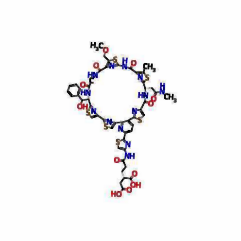 CNC(=O)C[C@@H]1NC(=O)c2csc(n2)-c2ccc(-c3nc(NC(=O)CC[C@@H](CC(=O)O)C(=O)O)cs3)nc2-c2csc(n2)-c2csc(n2)[C@H]([C@@H](O)c2ccccc2)NC(=O)CNC(=O)c2nc(sc2COC)NC(=O)c2nc1sc2C